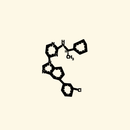 C[C@H](Nc1nccc(-n2cnc3cc(-c4cccc(Cl)c4)ccc32)n1)c1ccccc1